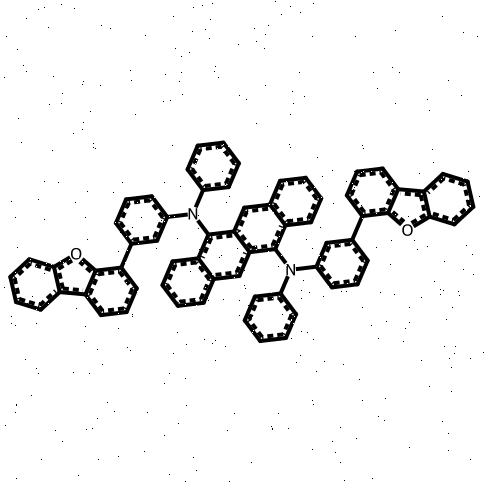 c1ccc(N(c2cccc(-c3cccc4c3oc3ccccc34)c2)c2c3ccccc3cc3c(N(c4ccccc4)c4cccc(-c5cccc6c5oc5ccccc56)c4)c4ccccc4cc23)cc1